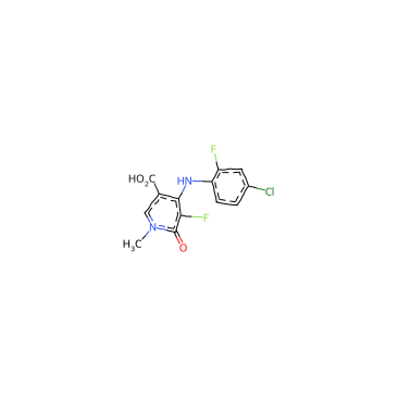 Cn1cc(C(=O)O)c(Nc2ccc(Cl)cc2F)c(F)c1=O